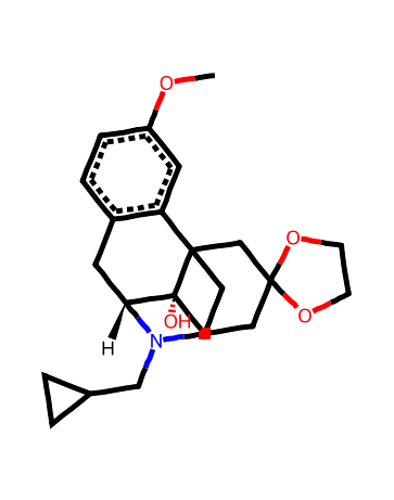 COc1ccc2c(c1)C13CCN(CC4CC4)[C@H](C2)[C@]1(O)CCC1(C3)OCCO1